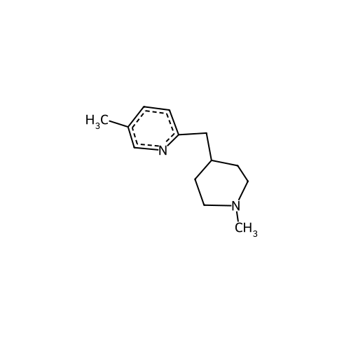 Cc1ccc(CC2CCN(C)CC2)nc1